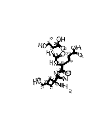 C[C@@H](O)[C@H](NC(=O)NC(CCC(=O)O)c1nc(C2(N)CC(CO)C2)no1)C(=O)O